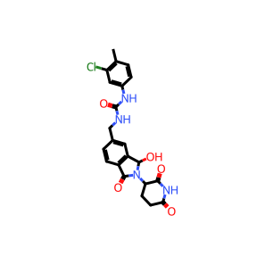 Cc1ccc(NC(=O)NCc2ccc3c(c2)C(O)N(C2CCC(=O)NC2=O)C3=O)cc1Cl